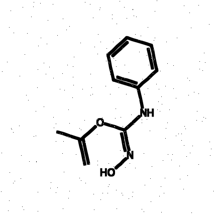 C=C(C)OC(=NO)Nc1ccccc1